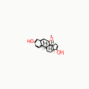 COC1CC2C=C(O)C=C[C@]2(C)[C@@H]2CC[C@]3(C)C(O)=CC[C@H]3[C@H]12